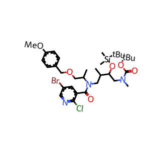 COc1ccc(COCC(C)N(CC(C)C(CN(C)C(=O)OC(C)(C)C)O[Si](C)(C)C(C)(C)C)C(=O)c2cc(Br)cnc2Cl)cc1